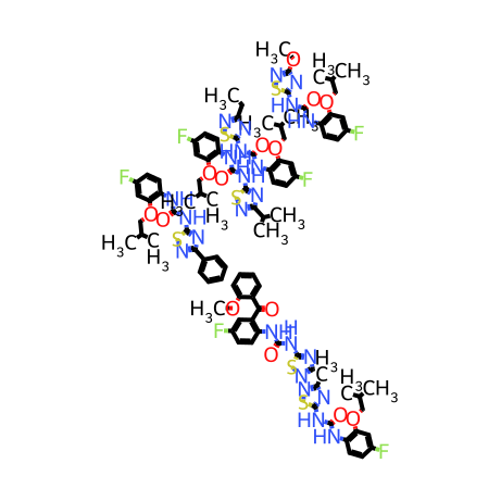 CC(C)COc1cc(F)ccc1NC(=O)Nc1nc(-c2ccccc2)ns1.CC(C)COc1cc(F)ccc1NC(=O)Nc1nc(C(C)C)ns1.CCc1nsc(NC(=O)Nc2ccc(F)cc2OCC(C)C)n1.COc1ccccc1C(=O)c1cc(F)ccc1NC(=O)Nc1ncns1.COc1nsc(NC(=O)Nc2ccc(F)cc2OCC(C)C)n1.Cc1nsc(NC(=O)Nc2ccc(F)cc2OCC(C)C)n1